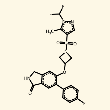 Cc1c(S(=O)(=O)N2CC(Oc3cc4c(cc3-c3ccc(F)cc3)C(=O)NC4)C2)cnn1C(F)F